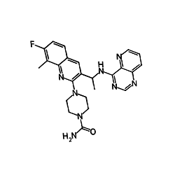 Cc1c(F)ccc2cc(C(C)Nc3ncnc4cccnc34)c(N3CCN(C(N)=O)CC3)nc12